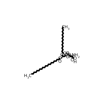 CCCCCCCCCCCCCCCCCCCCC(=O)OC[C@H](COP(=O)(O)OC[C@H](N)C(=O)O)OC(=O)CCCCCCCCCCCCCCCC